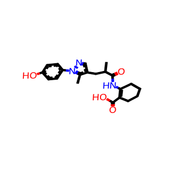 Cc1c(CC(C)C(=O)NC2=C(C(=O)O)CCCC2)cnn1-c1ccc(O)cc1